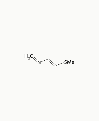 C=NC=CSC